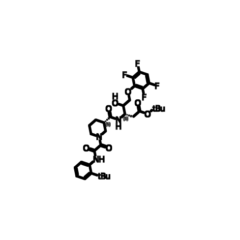 CC(C)(C)OC(=O)C[C@H](NC(=O)[C@H]1CCCN(C(=O)C(=O)Nc2ccccc2C(C)(C)C)C1)C(O)COc1c(F)c(F)cc(F)c1F